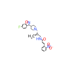 C=C1[C@H](CNC(=O)/C=C/c2ccccc2[N+](=O)[O-])[C@H]1CN1CCC(c2noc3cc(F)ccc23)CC1